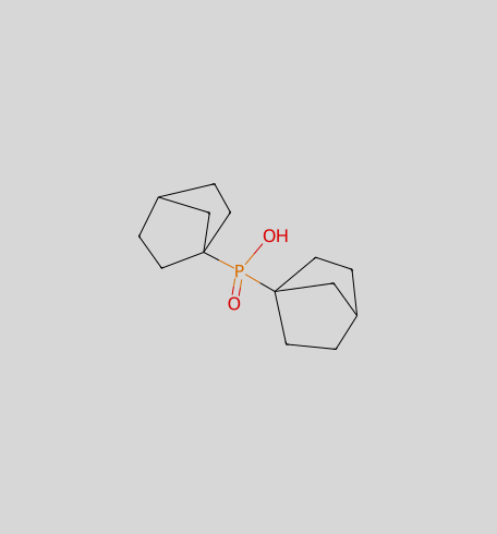 O=P(O)(C12CCC(CC1)C2)C12CCC(CC1)C2